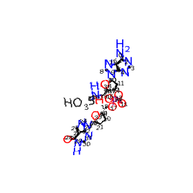 Nc1ncnc2c1ncn2[C@H]1C[C@H](OP(=O)(O)OC[C@@H]2CC[C@H](n3ncc4c(=O)[nH]cnc43)O2)[C@@H](CNS(=O)(=O)O)O1